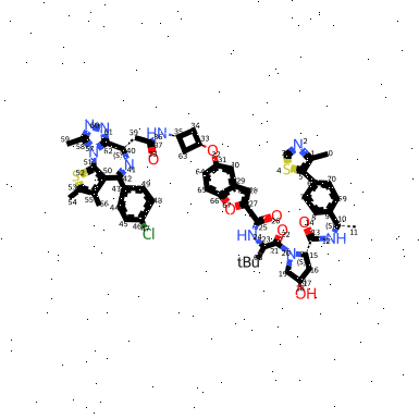 Cc1ncsc1-c1ccc([C@H](C)NC(=O)[C@@H]2C[C@@H](O)CN2C(=O)C(NC(=O)c2cc3cc(O[C@H]4C[C@@H](NC(=O)C[C@@H]5N=C(c6ccc(Cl)cc6)c6c(sc(C)c6C)-n6c(C)nnc65)C4)ccc3o2)C(C)(C)C)cc1